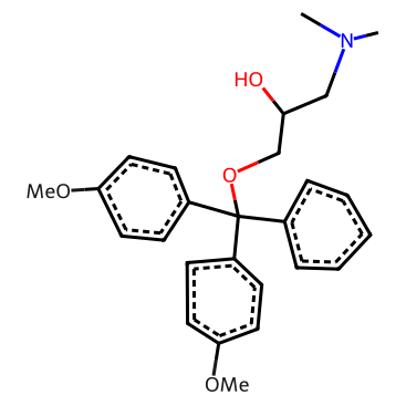 COc1ccc(C(OCC(O)CN(C)C)(c2ccccc2)c2ccc(OC)cc2)cc1